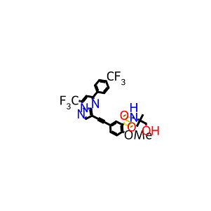 COc1ccc(C#Cc2cnn3c(C(F)(F)F)cc(-c4ccc(C(F)(F)F)cc4)nc23)cc1S(=O)(=O)NC(C)(C)CO